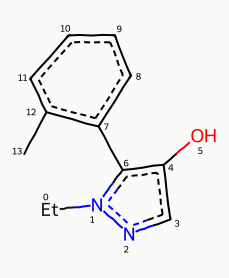 CCn1ncc(O)c1-c1ccccc1C